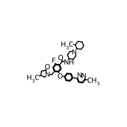 Cc1ccc(-c2ccc(Oc3cc(C(=O)NC4CCN(C5CCCCC5C)CC4)c(F)cc3CN3CC(C)CC3=O)cc2)nn1